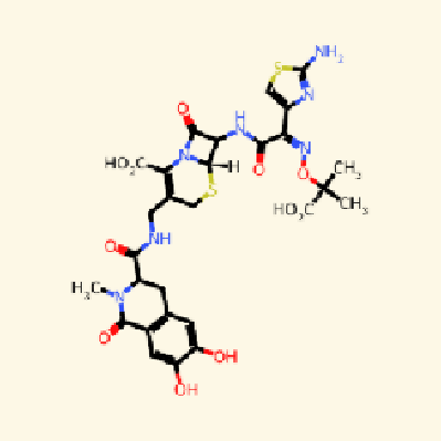 CN1C(=O)c2cc(O)c(O)cc2CC1C(=O)NCC1=C(C(=O)O)N2C(=O)C(NC(=O)/C(=N\OC(C)(C)C(=O)O)c3csc(N)n3)[C@@H]2SC1